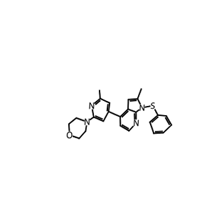 Cc1cc(-c2ccnc3c2cc(C)n3Sc2ccccc2)cc(N2CCOCC2)n1